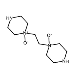 [O-][N+]1(CC[N+]2([O-])CCNCC2)CCNCC1